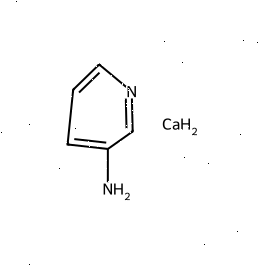 Nc1cccnc1.[CaH2]